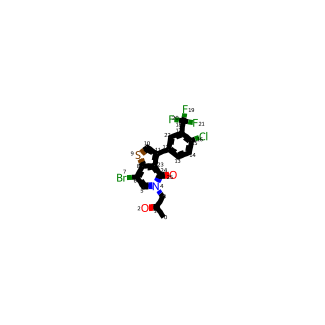 CC(=O)Cn1cc(Br)c2scc(-c3ccc(Cl)c(C(F)(F)F)c3)c2c1=O